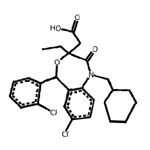 CCC1(CC(=O)O)OC(c2ccccc2Cl)c2cc(Cl)ccc2N(CC2CCCCC2)C1=O